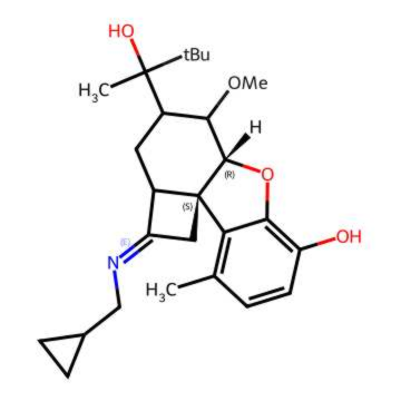 COC1C(C(C)(O)C(C)(C)C)CC2/C(=N/CC3CC3)C[C@@]23c2c(C)ccc(O)c2O[C@@H]13